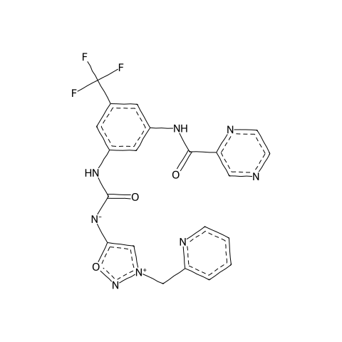 O=C([N-]c1c[n+](Cc2ccccn2)no1)Nc1cc(NC(=O)c2cnccn2)cc(C(F)(F)F)c1